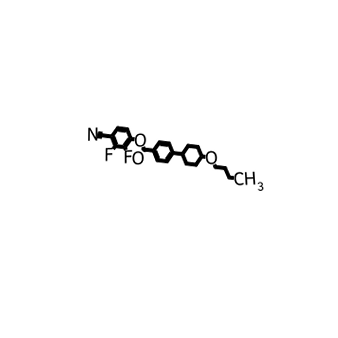 CCCCOC1CCC(c2ccc(C(=O)Oc3ccc(C#N)c(F)c3F)cc2)CC1